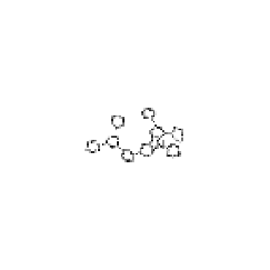 c1ccc(-c2cc(-c3ccccc3)cc(-c3cccc(-c4ccc5c(c4)c4cc(-c6ccccc6)cc(-c6ccccc6)c4n5-c4ccccc4)c3)c2)cc1